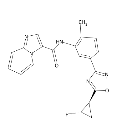 Cc1ccc(-c2noc([C@H]3C[C@@H]3F)n2)cc1NC(=O)c1cnc2ccccn12